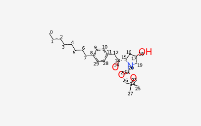 CCCCCCCCc1ccc(CC(=O)[C@@H]2C[C@@H](O)CN2C(=O)OC(C)(C)C)cc1